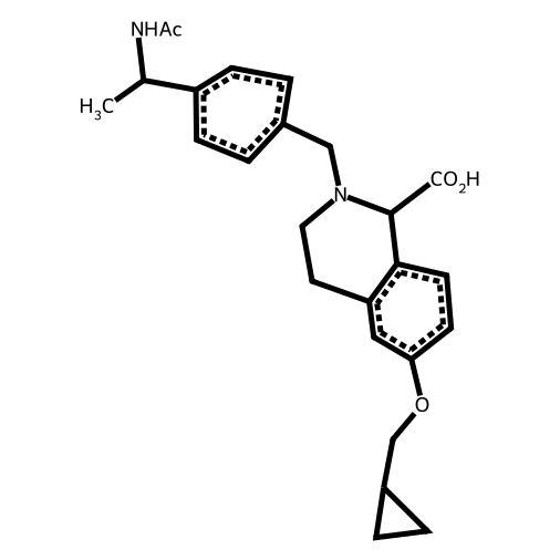 CC(=O)NC(C)c1ccc(CN2CCc3cc(OCC4CC4)ccc3C2C(=O)O)cc1